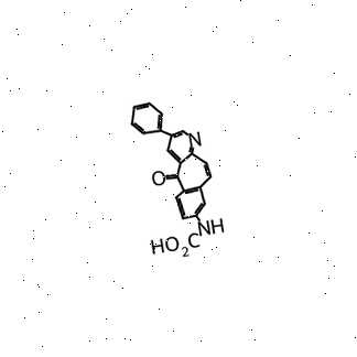 O=C(O)Nc1ccc2c(=O)c3cc(-c4ccccc4)cnc3ccc2c1